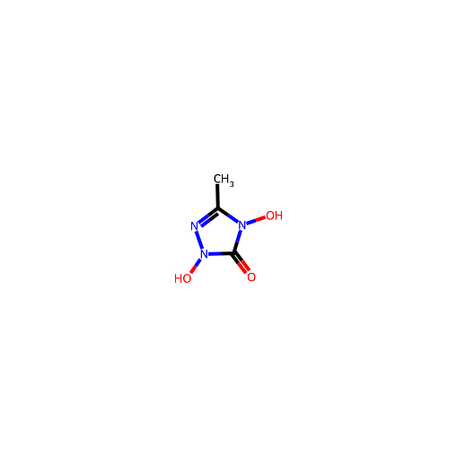 Cc1nn(O)c(=O)n1O